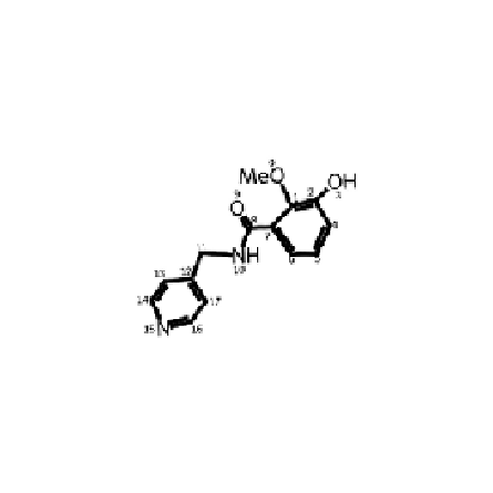 COc1c(O)cccc1C(=O)NCc1ccncc1